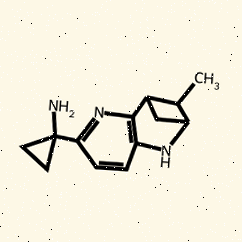 CC1C2CC1c1nc(C3(N)CC3)ccc1N2